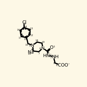 O=C([O-])CNNC(=O)N1CCN(Cc2ccc(Cl)cc2)CC1.[Na+]